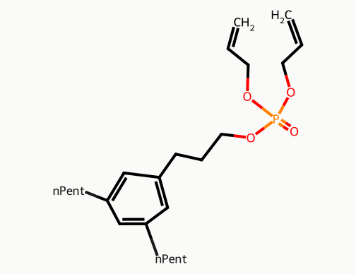 C=CCOP(=O)(OCC=C)OCCCc1cc(CCCCC)cc(CCCCC)c1